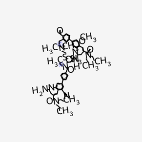 C/C=C\N(CCSNC1=Nc2cc(-c3ccc(C=O)c(/C=C(/C)N(C)CCSC)c3)cc(OC)c2C=C(C(=O)N(CCC)CCC)C1)C(=O)c1ccc(-c2cc(C#N)c3c(c2)N=C(N)CC(C(=O)N(CCC)CCC)=C3)cc1